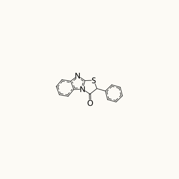 O=C1C(c2ccccc2)Sc2nc3ccccc3n21